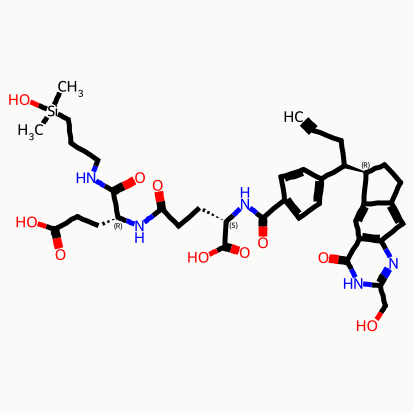 C#CCC(c1ccc(C(=O)N[C@@H](CCC(=O)N[C@H](CCC(=O)O)C(=O)NCCC[Si](C)(C)O)C(=O)O)cc1)[C@H]1CCc2cc3nc(CO)[nH]c(=O)c3cc21